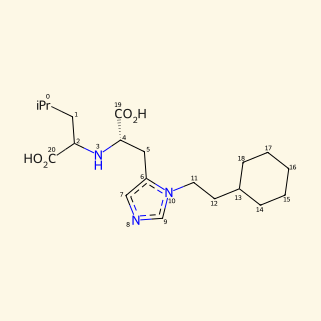 CC(C)CC(N[C@@H](Cc1cncn1CCC1CCCCC1)C(=O)O)C(=O)O